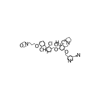 Cc1c(OCCCN2CCOCC2)cccc1-c1cccc(COc2cc(OCc3cncc(C#N)c3)c(CN3CCCC[C@H]3C)cc2Cl)c1Cl